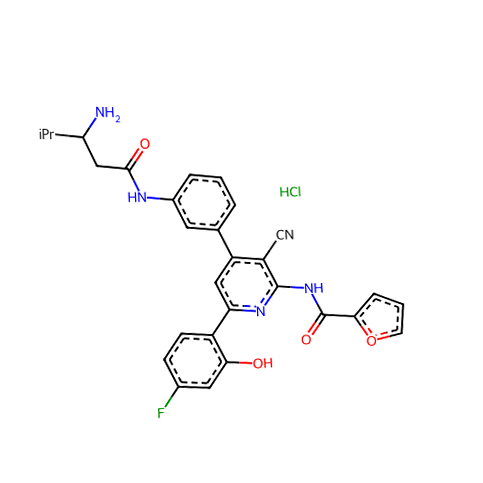 CC(C)C(N)CC(=O)Nc1cccc(-c2cc(-c3ccc(F)cc3O)nc(NC(=O)c3ccco3)c2C#N)c1.Cl